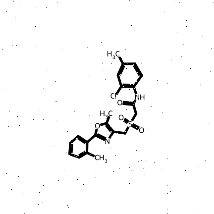 Cc1ccc(NC(=O)CS(=O)(=O)Cc2nc(-c3ccccc3C)oc2C)c(Cl)c1